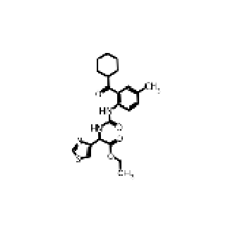 CCOC(=O)C(NC(=O)Nc1ccc(C)cc1C(=O)C1CCCCC1)c1cscn1